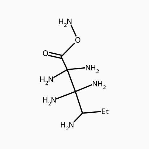 CCC(N)C(N)(N)C(N)(N)C(=O)ON